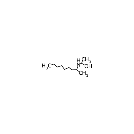 CCCCCCCC(C)NC(C)O